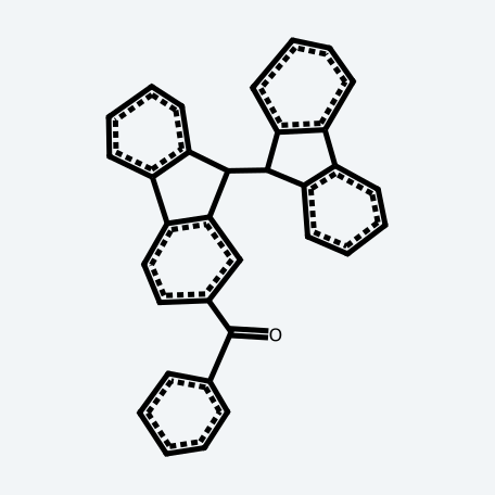 O=C(c1ccccc1)c1ccc2c(c1)C(C1c3ccccc3-c3ccccc31)c1ccccc1-2